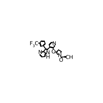 C#CC(=O)N1CC[C@@H](Oc2cnccc2-c2[nH]c3cccnc3c2-c2cccc(C(F)(F)F)c2)C1